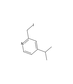 CC(C)c1ccnc(CI)c1